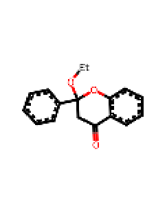 CCOC1(c2ccccc2)CC(=O)c2ccccc2O1